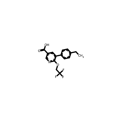 CCc1ccc(-c2cc(C(=O)O)cnc2OCC(F)(F)F)cc1